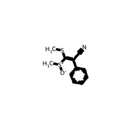 CSC(=C(C#N)c1ccccc1)[S+](C)[O-]